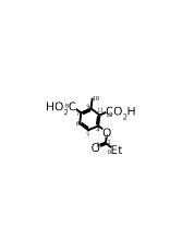 CCC(=O)Oc1ccc(C(=O)O)c(C)c1C(=O)O